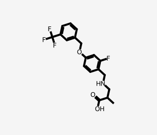 CC(CNCc1ccc(OCc2cccc(C(F)(F)F)c2)cc1F)C(=O)O